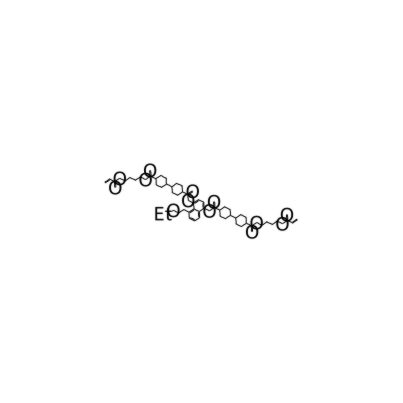 C=CC(=O)OCCCCOC(=O)C1CCC(C2CCC(C(=O)Oc3ccc(OC(=O)C4CCC(C5CCC(C(=O)OCCCCOC(=O)C=C)CC5)CC4)c4c(CCOCC)cccc34)CC2)CC1